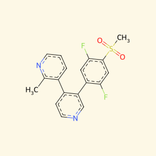 Cc1ncccc1-c1ccncc1-c1cc(F)c(S(C)(=O)=O)cc1F